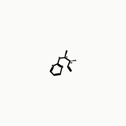 C=C[C@@H](C)[C@H](C)Sc1ncccn1